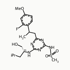 COc1ccc(C(C)Cc2nc(N[C@@H](CO)CC(C)C)nc(NS(C)(=O)=O)n2)c(F)c1